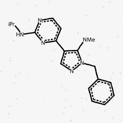 CNc1c(-c2ccnc(NC(C)C)n2)cnn1Cc1ccccc1